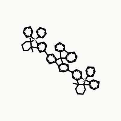 CC12CCCCC1(C)[Si](c1ccccc1)(c1ccccc1)c1ccc(-c3ccc4c(c3)C3(c5ccccc5-c5ccccc53)c3cc(-c5ccc6c(c5)C5(C)CCCCC5(C)[Si]6(c5ccccc5)c5ccccc5)ccc3-4)cc12